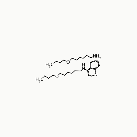 CCCCOCCCCCCN.CCCCOCCCCCCNc1ccnc2ccccc12